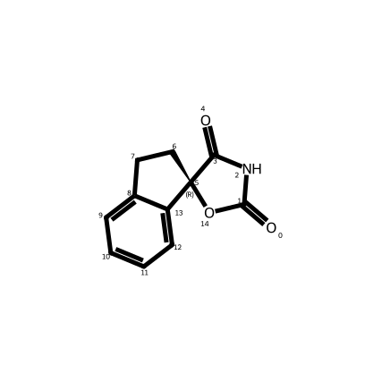 O=C1NC(=O)[C@]2(CCc3ccccc32)O1